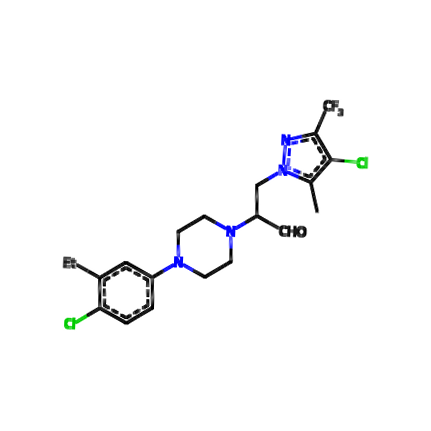 CCc1cc(N2CCN(C(C=O)Cn3nc(C(F)(F)F)c(Cl)c3C)CC2)ccc1Cl